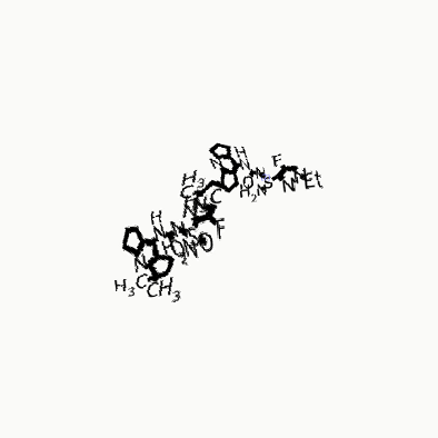 CCn1cc(F)c(/S(N)=N/C(=O)Nc2c3c(nc4c2CCC4(C)CC(C)n2cc(F)c(S(N)(=O)=NC(=O)Nc4c5c(nc6c4CCC6(C)C)CCC5)n2)CCC3)n1